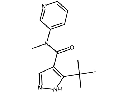 CN(C(=O)c1cn[nH]c1C(C)(C)F)c1cccnc1